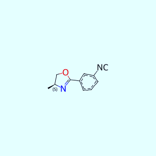 [C-]#[N+]c1cccc(C2=N[C@@H](C)CO2)c1